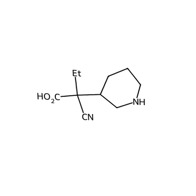 CCC(C#N)(C(=O)O)C1CCCNC1